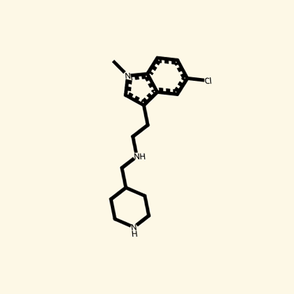 Cn1cc(CCNCC2CCNCC2)c2cc(Cl)ccc21